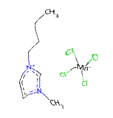 CCCC[n+]1ccn(C)c1.[Cl][Mn-]([Cl])([Cl])[Cl]